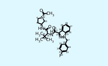 CC(=O)N1CCC(NC(=O)[C@@H](NC(=O)c2nn(Cc3ccc(F)cc3)c3ccccc23)C(C)(C)C)C1